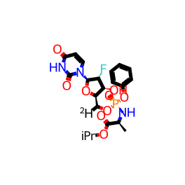 [2H]C(O[P@@](=O)(N[C@@H](C)C(=O)OC(C)C)Oc1ccccc1)[C@H]1O[C@@H](n2ccc(=O)[nH]c2=O)[C@H](F)[C@@H]1O